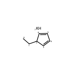 CC[C]1C=CC=C1.[KH]